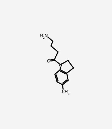 Cc1ccc2c(c1)CCN2C(=O)CCCN